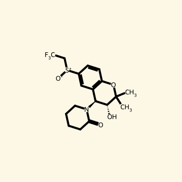 CC1(C)Oc2ccc([S+]([O-])CC(F)(F)F)cc2[C@H](N2CCCCC2=O)[C@H]1O